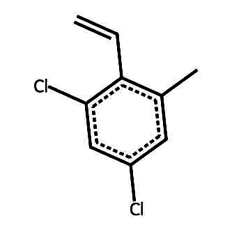 C=Cc1c(C)cc(Cl)cc1Cl